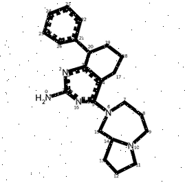 Nc1nc2c(c(N3CCCN4CCCC4C3)n1)CCCC2c1ccccc1